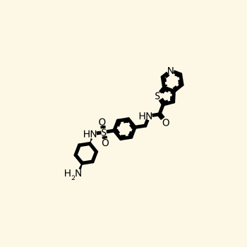 N[C@H]1CC[C@H](NS(=O)(=O)c2ccc(CNC(=O)c3cc4ccncc4s3)cc2)CC1